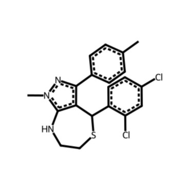 Cc1ccc(-c2nn(C)c3c2C(c2ccc(Cl)cc2Cl)SCCN3)cc1